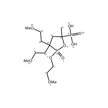 COCCOP1(=O)OC(C)(P(=O)(O)O)CC1(CCOC)CCOC